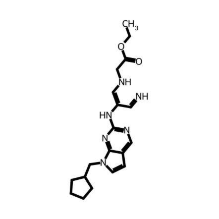 CCOC(=O)CN/C=C(\C=N)Nc1ncc2ccn(CC3CCCC3)c2n1